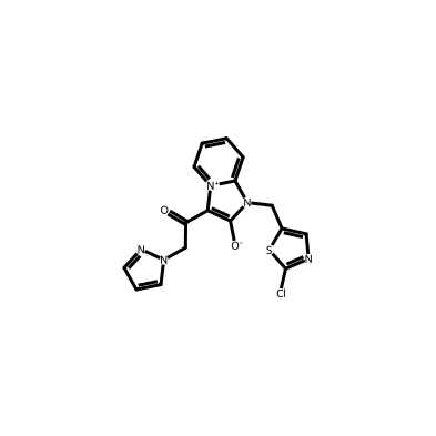 O=C(Cn1cccn1)c1c([O-])n(Cc2cnc(Cl)s2)c2cccc[n+]12